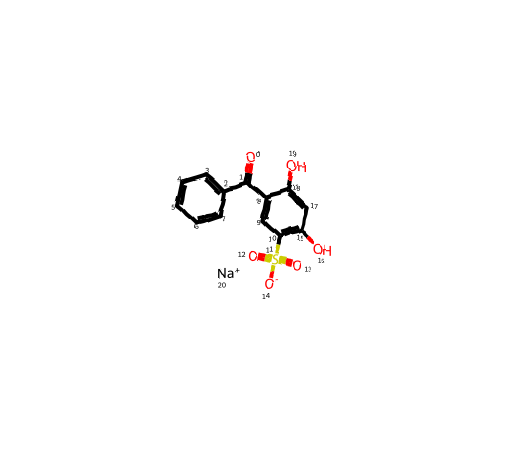 O=C(c1ccccc1)c1cc(S(=O)(=O)[O-])c(O)cc1O.[Na+]